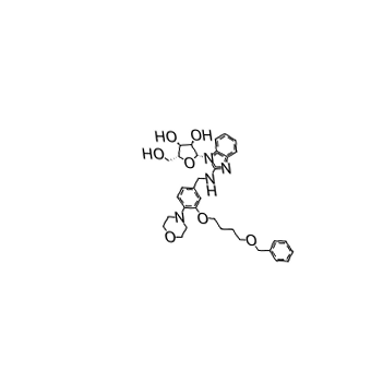 OC[C@H]1O[C@@H](n2c(NCc3ccc(N4CCOCC4)c(OCCCCOCc4ccccc4)c3)nc3ccccc32)[C@H](O)[C@@H]1O